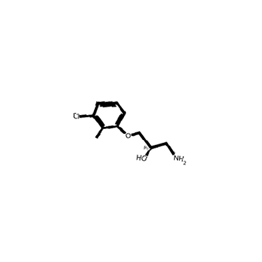 Cc1c(Cl)cccc1OC[C@H](O)CN